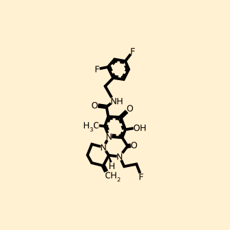 C=C1CCCN2[C@@H]1N(CCF)C(=O)c1c(O)c(=O)c(C(=O)NCc3ccc(F)cc3F)c(C)n12